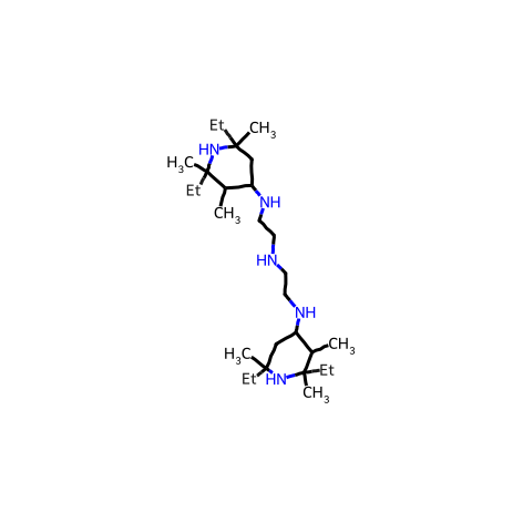 CCC1(C)CC(NCCNCCNC2CC(C)(CC)NC(C)(CC)C2C)C(C)C(C)(CC)N1